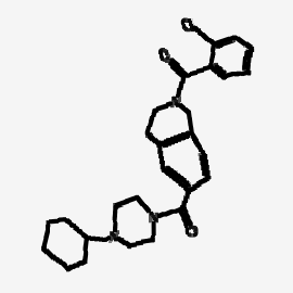 O=C(c1ccc2c(c1)CCN(C(=O)c1ccccc1Cl)C2)N1CCN(C2CCCCC2)CC1